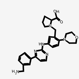 NCc1cccc(-c2ccnc(Nc3ccc(N4CCOCC4)c(CN4CCCC4C(=O)O)c3)n2)c1